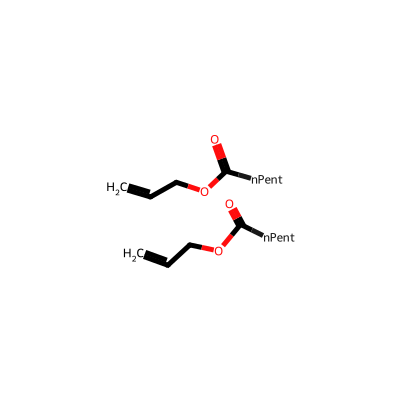 C=CCOC(=O)CCCCC.C=CCOC(=O)CCCCC